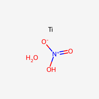 O.O=[N+]([O-])O.[Ti]